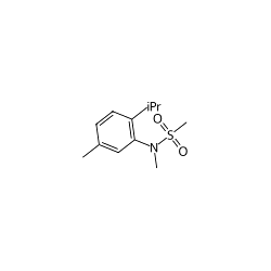 Cc1ccc(C(C)C)c(N(C)S(C)(=O)=O)c1